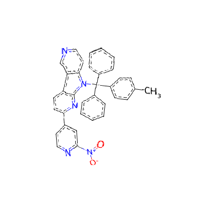 Cc1ccc(C(c2ccccc2)(c2ccccc2)n2c3ccncc3c3ccc(-c4ccnc([N+](=O)[O-])c4)nc32)cc1